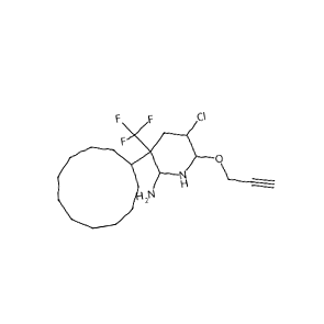 C#CCOC1NC(N)C(C2CCCCCCCCCC2)(C(F)(F)F)CC1Cl